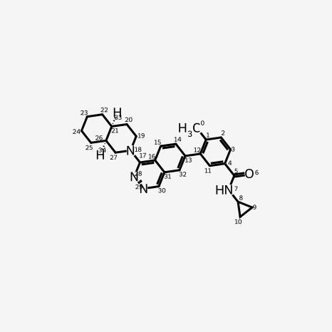 Cc1ccc(C(=O)NC2CC2)cc1-c1ccc2c(N3CC[C@@H]4CCCC[C@@H]4C3)nncc2c1